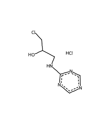 Cl.OC(CCl)CNc1ncncn1